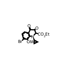 CCOC(=O)C1C(=O)C(=O)c2ccc(Br)c(OC)c2N1C1CC1